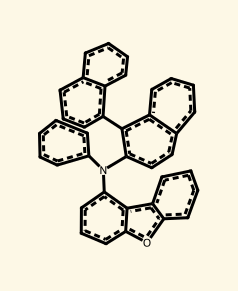 c1ccc(N(c2ccc3ccccc3c2-c2cccc3ccccc23)c2cccc3oc4ccccc4c23)cc1